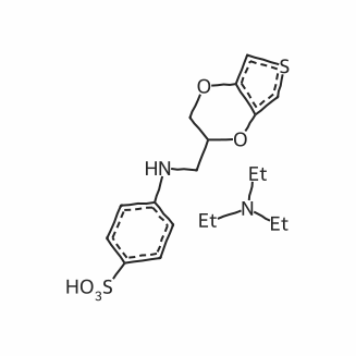 CCN(CC)CC.O=S(=O)(O)c1ccc(NCC2COc3cscc3O2)cc1